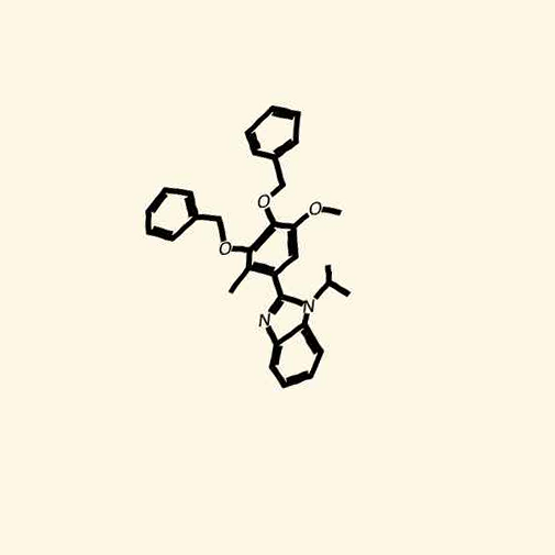 COc1cc(-c2nc3ccccc3n2C(C)C)c(C)c(OCc2ccccc2)c1OCc1ccccc1